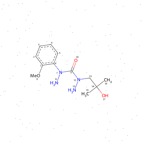 COc1ccccc1N(N)C(=O)N(N)CC(C)(C)O